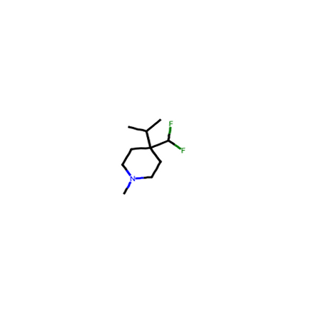 CC(C)C1(C(F)F)CCN(C)CC1